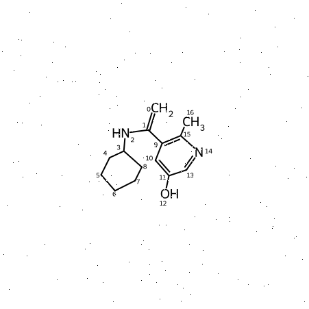 C=C(NC1CCCCC1)c1cc(O)cnc1C